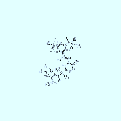 CCC(C)(CC)Nc1cc(C(c2ccc(O)c(NC(=O)c3cc(C(=O)C(C)(CC)CC)cc(C(O)(C(F)(F)F)C(F)(F)F)c3)c2)(C(F)(F)F)C(F)(F)F)ccc1O